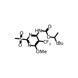 COc1nc(S(C)(=O)=O)nc(NC(=O)OC(C)C(C)(C)C)c1C(F)(F)F